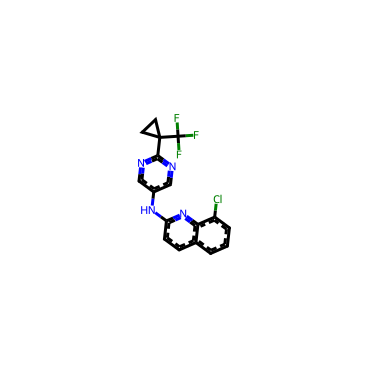 FC(F)(F)C1(c2ncc(Nc3ccc4cccc(Cl)c4n3)cn2)CC1